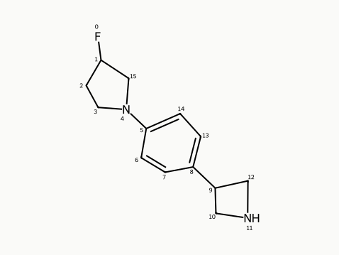 FC1CCN(c2ccc(C3CNC3)cc2)C1